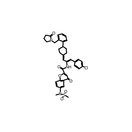 CN(c1ccc2oc(C(=O)N/C(C=C3CCC(c4ccccc4CN4CCCC4=O)CC3)=C\c3ccc(Cl)cc3)cc(=O)c2c1)S(C)(=O)=O